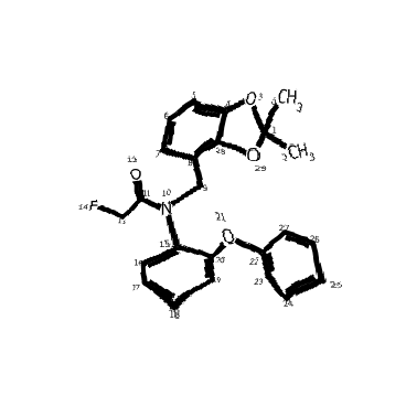 CC1(C)Oc2cccc(CN(C(=O)CF)c3ccccc3Oc3ccccc3)c2O1